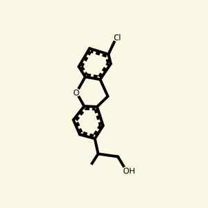 CC(CO)c1ccc2c(c1)Cc1cc(Cl)ccc1O2